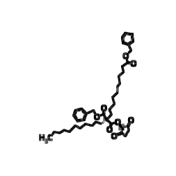 CCCCCCCCCCC[C@@](CCCCCCCCCCC(=O)OCc1ccccc1)(C(=O)OCc1ccccc1)C(=O)ON1C(=O)CCC1=O